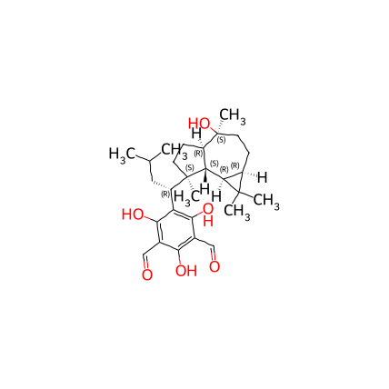 CC(C)C[C@@H](c1c(O)c(C=O)c(O)c(C=O)c1O)[C@@]1(C)CC[C@@H]2[C@@H]1[C@H]1[C@@H](CC[C@]2(C)O)C1(C)C